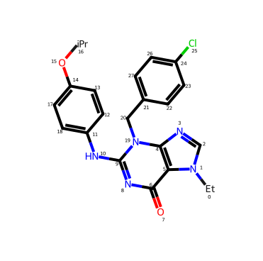 CCn1cnc2c1c(=O)nc(Nc1ccc(OC(C)C)cc1)n2Cc1ccc(Cl)cc1